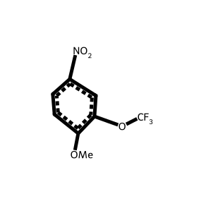 COc1ccc([N+](=O)[O-])cc1OC(F)(F)F